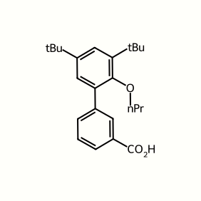 CCCOc1c(-c2cccc(C(=O)O)c2)cc(C(C)(C)C)cc1C(C)(C)C